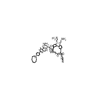 Cc1nc(-c2ccc(N3CCCCCCC3)cc2)nc(C)c1C(=O)N[C@@H](CCN)C(=O)N(C)[C@@H]1C(=O)N[C@@H](C)C(=O)N[C@H](C(=O)NCC#N)Cc2ccc(OCCN)c(c2)-c2cc1ccc2OCCN